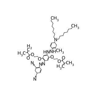 C=C(C)C(=O)OCCOc1cc(NNC2=C(C)CC(N(CCCCCCCC)CCCCCCCC)C=C2)c(OCCOC(=O)C(=C)C)cc1/N=N/C1=C(C#N)CC(C#N)C=C1